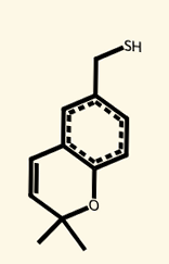 CC1(C)C=Cc2cc(CS)ccc2O1